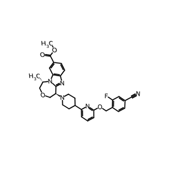 COC(=O)c1ccc2nc3n(c2c1)[C@@H](C)COC[C@@H]3N1CCC(c2cccc(OCc3ccc(C#N)cc3F)n2)CC1